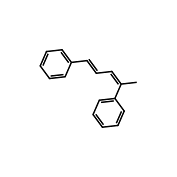 C/C(=C/C=C/c1ccccc1)c1ccccc1